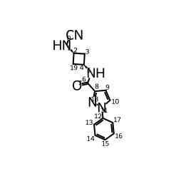 N#CN[C@H]1C[C@@H](NC(=O)c2ccn(-c3ccccc3)n2)C1